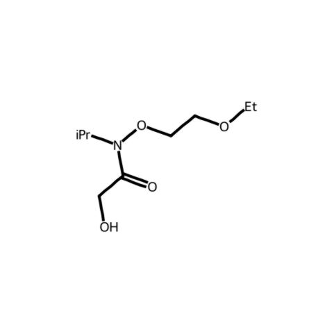 CCOCCON(C(=O)CO)C(C)C